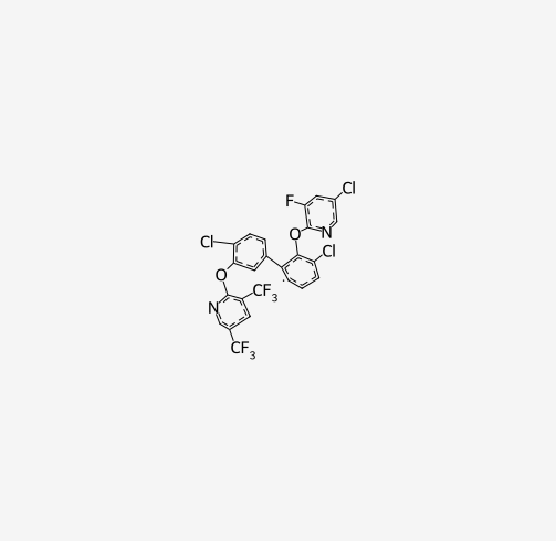 Fc1cc(Cl)cnc1Oc1c(-c2ccc(Cl)c(Oc3ncc(C(F)(F)F)cc3C(F)(F)F)c2)[c]ccc1Cl